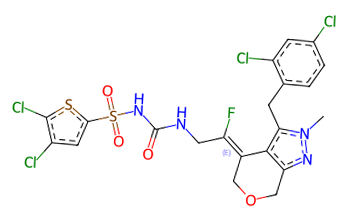 Cn1nc2c(c1Cc1ccc(Cl)cc1Cl)/C(=C(\F)CNC(=O)NS(=O)(=O)c1cc(Cl)c(Cl)s1)COC2